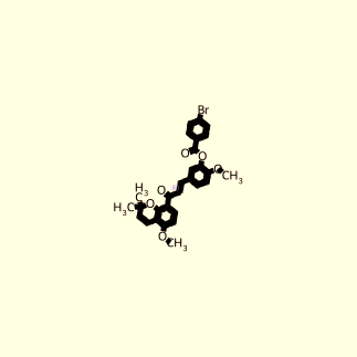 COc1ccc(/C=C/C(=O)c2ccc(OC)c3c2OC(C)(C)C=C3)cc1OC(=O)c1ccc(Br)cc1